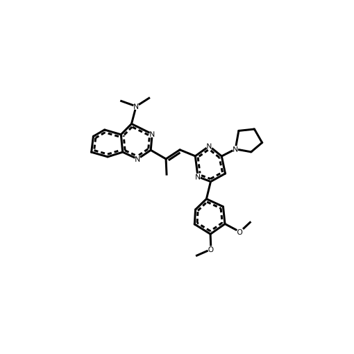 COc1ccc(-c2cc(N3CCCC3)nc(/C=C(\C)c3nc(N(C)C)c4ccccc4n3)n2)cc1OC